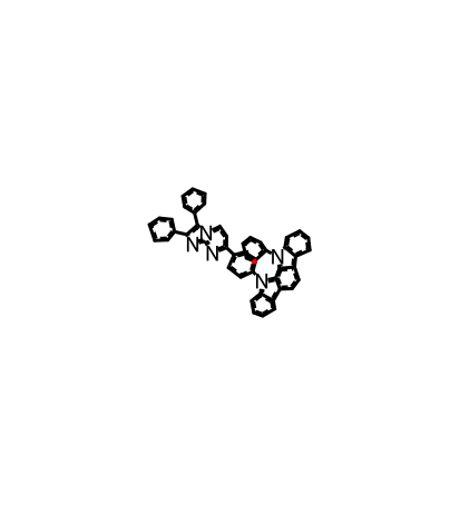 c1ccc(-c2nc3nc(-c4ccc(-n5c6ccccc6c6ccc7c8ccccc8n(-c8ccccc8)c7c65)cc4)ccn3c2-c2ccccc2)cc1